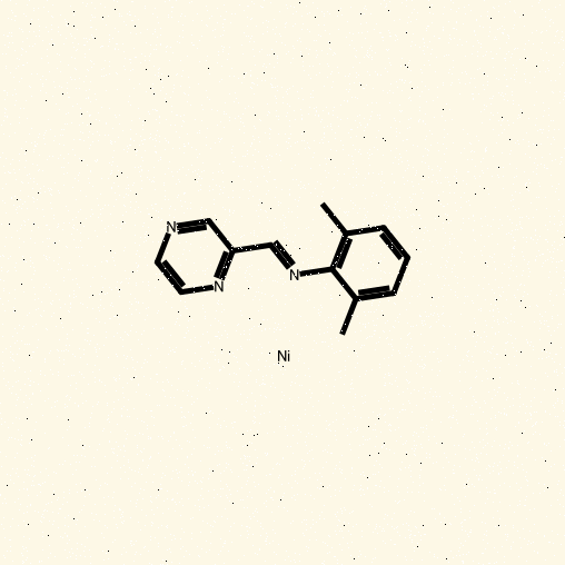 Cc1cccc(C)c1N=Cc1cnccn1.[Ni]